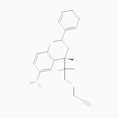 N#CCOCC(F)(F)[C@@]1(N)CC(c2ccccc2)Oc2ccc([N+](=O)[O-])cc21